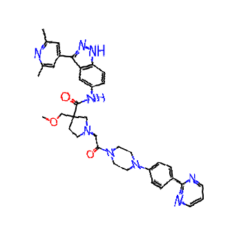 COCC1(C(=O)Nc2ccc3[nH]nc(-c4cc(C)nc(C)c4)c3c2)CCN(CC(=O)N2CCN(c3ccc(-c4ncccn4)cc3)CC2)C1